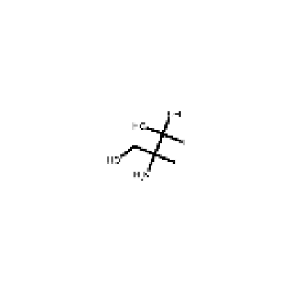 CC(N)(CO)C(O)(O)I